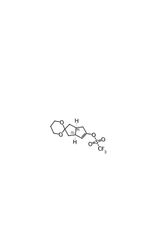 O=S(=O)(OC1=C[C@H]2CC3(C[C@H]2C1)OCCCO3)C(F)(F)F